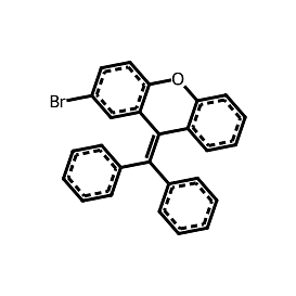 Brc1ccc2c(c1)C(=C(c1ccccc1)c1ccccc1)c1ccccc1O2